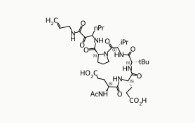 C=CCNC(=O)C(=O)C(CCC)NC(=O)[C@@H]1CCCN1C(=O)[C@@H](NC(=O)[C@@H](NC(=O)[C@H](CCC(=O)O)NC(=O)[C@H](CCC(=O)O)NC(C)=O)C(C)(C)C)C(C)C